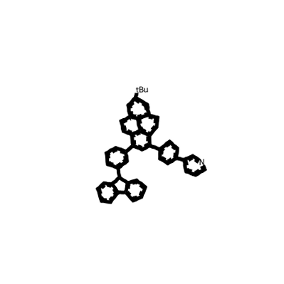 CC(C)(C)c1cc2ccc3c(-c4ccc(-c5cccnc5)cc4)cc(-c4cccc(C5c6ccccc6-c6ccccc65)c4)c4ccc(c1)c2c34